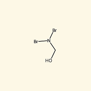 OCN(Br)Br